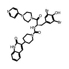 O=C(N[C@H](Cc1cc(Br)c(O)c(Br)c1)C(=O)N1CCN(c2ccncc2)CC1)N1CCC(c2cc3ccccc3[nH]c2=O)CC1